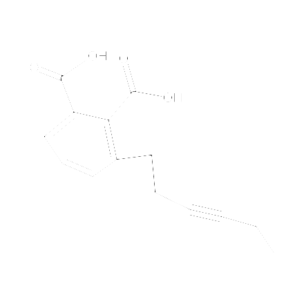 CCC#CCCc1cccc(C(=O)O)c1C(=O)O